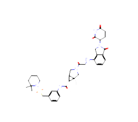 CC1(C)CCCCN1S(=O)(=O)Cc1cccc(NC(=O)[C@H]2C3CN(C(=O)CNc4cccc5c4CN(C4CCC(=O)NC4=O)C5=O)C[C@@H]32)c1